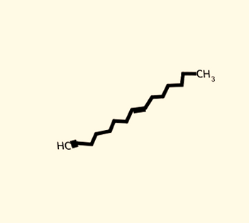 C#CCCCCC/C=C/CCCCCC